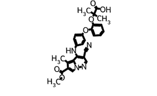 COC(=O)c1cn2ncc(C#N)c(Nc3ccc(Oc4ccccc4OC(C)(C)C(=O)O)cc3)c2c1C